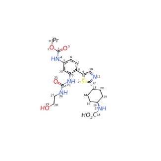 CC(C)OC(=O)Nc1ccc(-c2cnc([C@H]3CC[C@H](NC(=O)O)CC3)s2)c(NC(=O)NCCO)c1